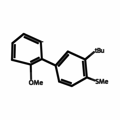 COc1ccc[c]c1-c1ccc(SC)c(C(C)(C)C)c1